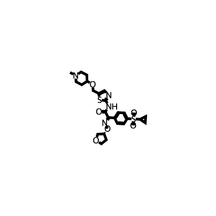 CN1CCC(OCc2cnc(NC(=O)/C(=N/O[C@@H]3CCOC3)c3ccc(S(=O)(=O)C4CC4)cc3)s2)CC1